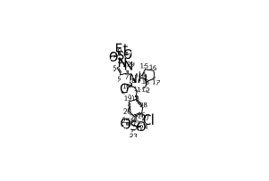 CCS(=O)(=O)n1ccc(NC(=O)[C@H](CC2CCCC2)c2ccc(S(C)(=O)=O)c(Cl)c2)n1